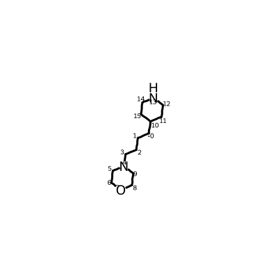 [CH](CCCN1CCOCC1)C1CCNCC1